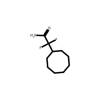 NC(=O)C(F)(F)C1CCCCCCC1